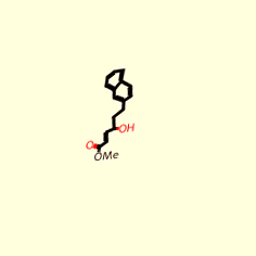 COC(=O)C=CC(O)CCc1ccc2ccccc2c1